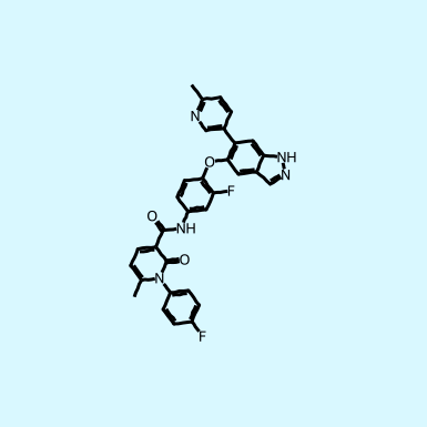 Cc1ccc(-c2cc3[nH]ncc3cc2Oc2ccc(NC(=O)c3ccc(C)n(-c4ccc(F)cc4)c3=O)cc2F)cn1